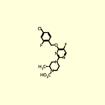 C[C@H]1CN(c2ncc(F)c(OCc3ccc(Cl)cc3F)n2)CCN1C(=O)O